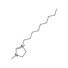 CCCCCCCCC[N+]1=CN(C)CC1